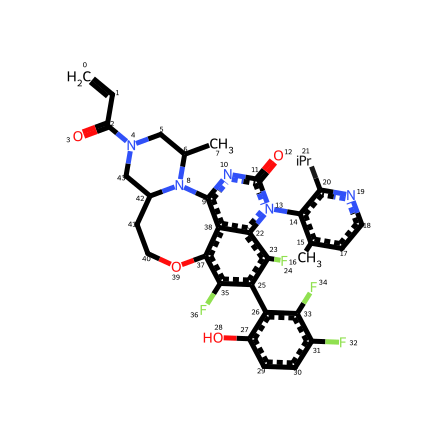 C=CC(=O)N1CC(C)N2c3nc(=O)n(-c4c(C)ccnc4C(C)C)c4c(F)c(-c5c(O)ccc(F)c5F)c(F)c(c34)OCCC2C1